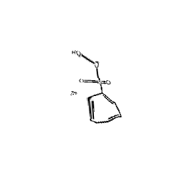 O=S(=O)(OO)c1ccccc1.[Zn]